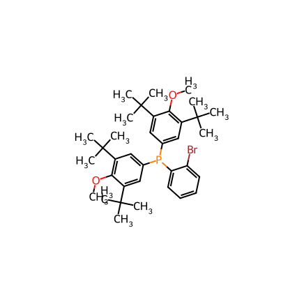 COc1c(C(C)(C)C)cc(P(c2cc(C(C)(C)C)c(OC)c(C(C)(C)C)c2)c2ccccc2Br)cc1C(C)(C)C